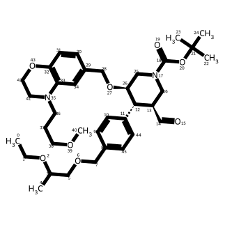 CCOC(C)COCc1ccc([C@H]2[C@H](C=O)CN(C(=O)OC(C)(C)C)C[C@@H]2OCc2ccc3c(c2)N(CCCOC)CCO3)cc1